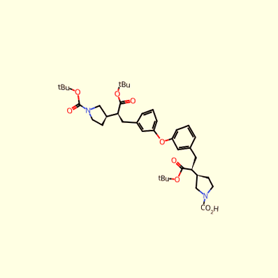 CC(C)(C)OC(=O)[C@@H](Cc1cccc(Oc2cccc(C[C@H](C(=O)OC(C)(C)C)[C@H]3CCN(C(=O)OC(C)(C)C)C3)c2)c1)[C@H]1CCN(C(=O)O)C1